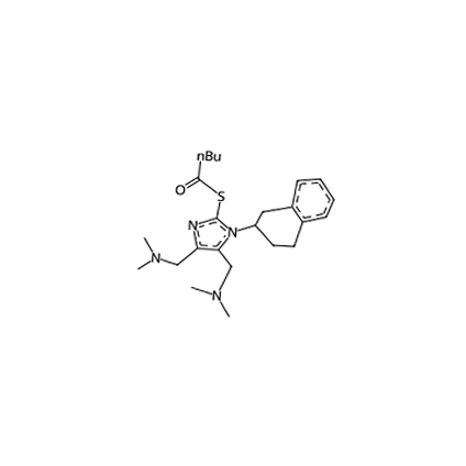 CCCCC(=O)Sc1nc(CN(C)C)c(CN(C)C)n1C1CCc2ccccc2C1